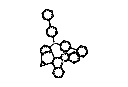 c1ccc(-c2ccc(N(c3ccc(-c4ccccc4)cc3)c3ccc4cc3-c3c(c5ccccc5n5c3nc3ccccc35)C3=C4C3)cc2)cc1